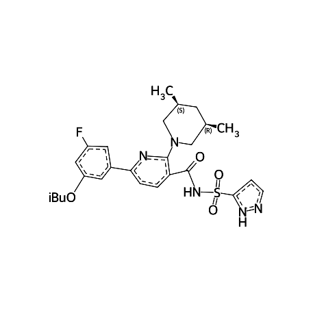 CC(C)COc1cc(F)cc(-c2ccc(C(=O)NS(=O)(=O)c3ccn[nH]3)c(N3C[C@H](C)C[C@H](C)C3)n2)c1